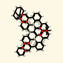 CC(C)(C)c1cc2c3c(c1)N(c1c(-c4ccccc4)cccc1-c1ccccc1)c1cc(N4C5CC6CC(C5)CC4C6)ccc1B3c1ccc(-c3ccccc3)cc1N2c1c(-c2ccccc2)cccc1-c1ccccc1